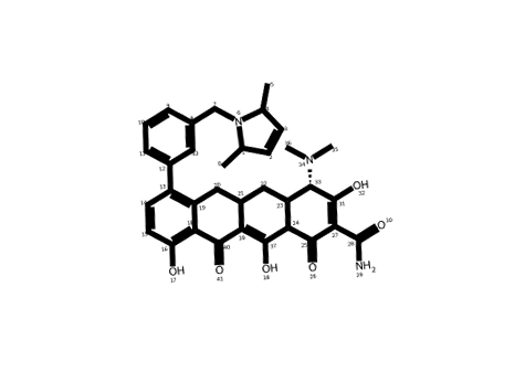 CC1C=CC(C)N1Cc1cccc(-c2ccc(O)c3c2CC2CC4C(C(=O)C(C(N)=O)=C(O)[C@H]4N(C)C)C(O)=C2C3=O)c1